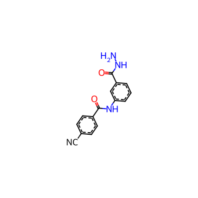 N#Cc1ccc(C(=O)Nc2cccc(C(=O)NN)c2)cc1